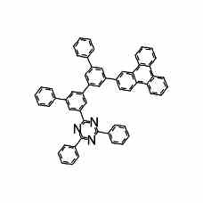 c1ccc(-c2cc(-c3cc(-c4ccccc4)cc(-c4nc(-c5ccccc5)nc(-c5ccccc5)n4)c3)cc(-c3ccc4c5ccccc5c5ccccc5c4c3)c2)cc1